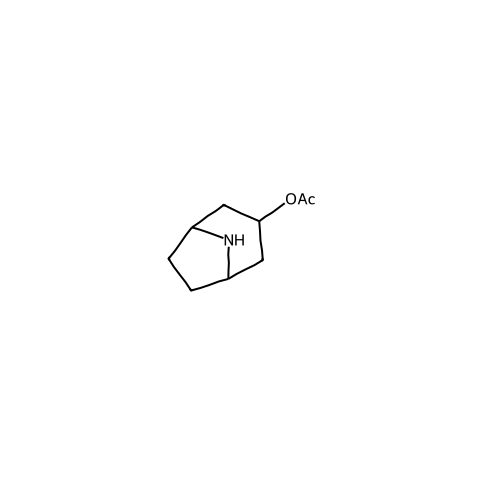 CC(=O)OC1CC2CCC(C1)N2